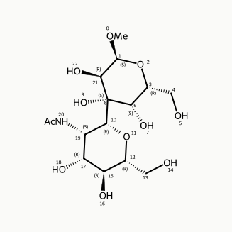 CO[C@H]1O[C@H](CO)[C@H](O)[C@@](O)([C@@H]2O[C@H](CO)[C@@H](O)[C@H](O)[C@@H]2NC(C)=O)[C@H]1O